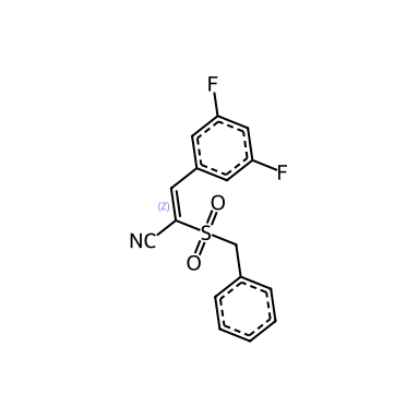 N#C/C(=C/c1cc(F)cc(F)c1)S(=O)(=O)Cc1ccccc1